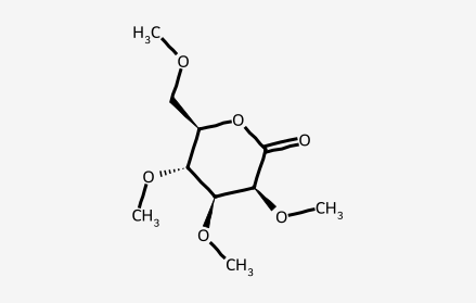 COC[C@H]1OC(=O)[C@@H](OC)[C@@H](OC)[C@@H]1OC